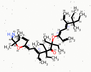 C=C/C(=C\C=C(/C=C)C(CC)(CC)C(=O)C(CC)(CC)O/C(C=C)=C/C=C(\C=C)C(C)(CC)CC)OC(C)(CC)CN